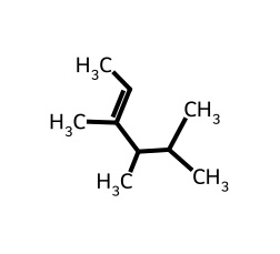 C/C=C(\C)C(C)C(C)C